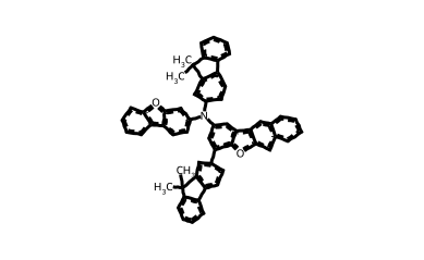 CC1(C)c2ccccc2-c2ccc(-c3cc(N(c4ccc5c(c4)C(C)(C)c4ccccc4-5)c4ccc5c(c4)oc4ccccc45)cc4c3oc3cc5ccccc5cc34)cc21